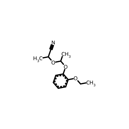 CCOc1ccccc1OC(C)OC(C)C#N